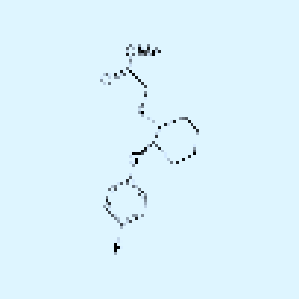 COC(=O)CS[C@@H]1CCCC[C@H]1Sc1ccc(F)cc1